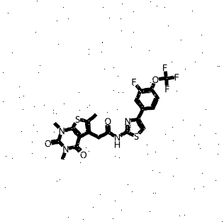 Cc1sc2c(c1CC(=O)Nc1nc(-c3ccc(OC(F)(F)F)c(F)c3)cs1)c(=O)n(C)c(=O)n2C